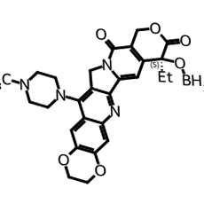 BO[C@]1(CC)C(=O)OCc2c1cc1n(c2=O)Cc2c-1nc1cc3c(cc1c2N1CCN(C)CC1)OCCO3